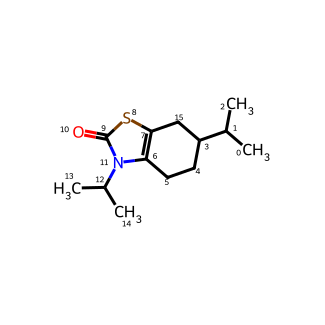 CC(C)C1CCc2c(sc(=O)n2C(C)C)C1